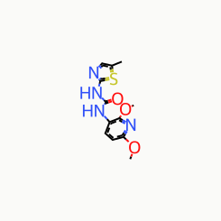 COc1ccc(NC(=O)Nc2ncc(C)s2)c(OC)n1